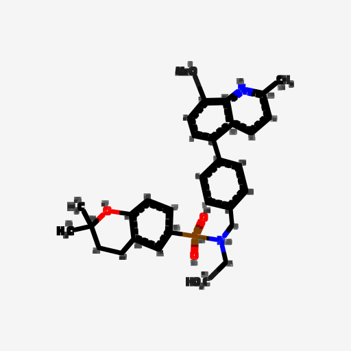 COc1ccc(-c2ccc(CN(CC(=O)O)S(=O)(=O)c3ccc4c(c3)CCC(C)(C)O4)cc2)c2ccc(C)nc12